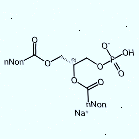 CCCCCCCCCC(=O)OC[C@H](COP(=O)([O-])O)OC(=O)CCCCCCCCC.[Na+]